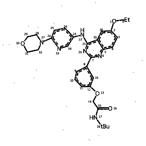 CCOc1ccc2nc(-c3cccc(OCC(=O)NC(C)(C)C)c3)nc(Nc3ccc(N4CCOCC4)nc3)c2c1